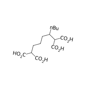 CCCCC(CCCC(C(=O)O)C(=O)O)C(C(=O)O)C(=O)O